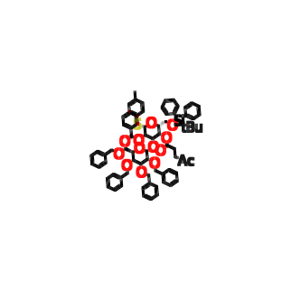 CC(=O)CCC(=O)O[C@@H]1[C@H](O[C@H]2O[C@H](COCc3ccccc3)[C@@H](OCc3ccccc3)[C@H](OCc3ccccc3)[C@H]2OCc2ccccc2)[C@@H](OC(=O)c2ccccc2)[C@H](Sc2ccc(C)cc2)O[C@@H]1CO[Si](c1ccccc1)(c1ccccc1)C(C)(C)C